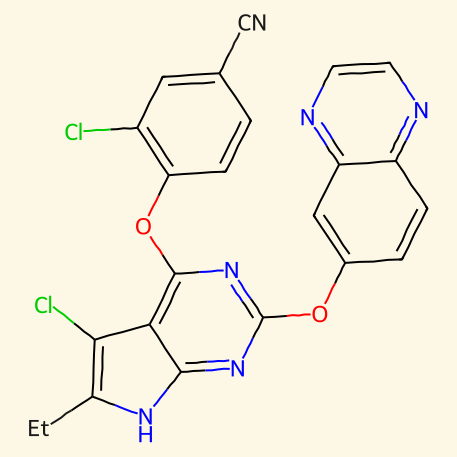 CCc1[nH]c2nc(Oc3ccc4nccnc4c3)nc(Oc3ccc(C#N)cc3Cl)c2c1Cl